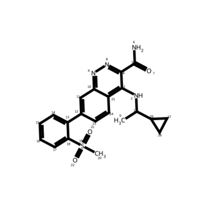 CC(Nc1c(C(N)=O)nnc2cc(-c3ccccc3S(C)(=O)=O)ccc12)C1CC1